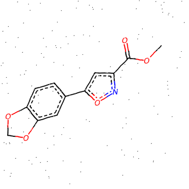 COC(=O)c1cc(-c2ccc3c(c2)OCO3)on1